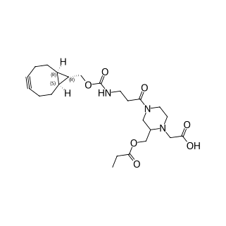 CCC(=O)OCC1CN(C(=O)CCNC(=O)OC[C@H]2[C@@H]3CCC#CCC[C@@H]32)CCN1CC(=O)O